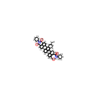 CC[C@H]1CCc2c(c(-c3ccc4c5c(cccc35)C(=O)N(C3CCCCC3)C4=O)c3ccccc3c2C2=c3cccc4c3=C(CC2)C(=O)N(C2CCCCC2)COC4)C1